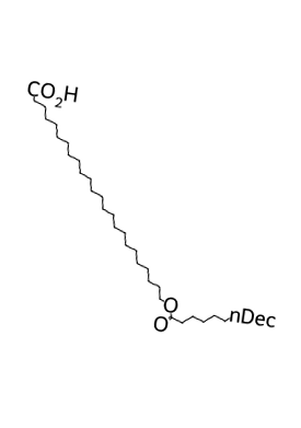 CCCCCCCCCCCCCCCC(=O)OCCCCCCCCCCCCCCCCCCCCCCCC(=O)O